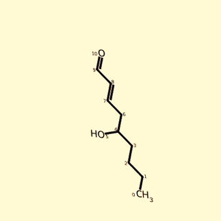 CCCCC(O)C/C=C/C=O